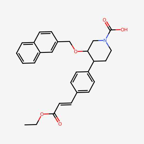 CCOC(=O)C=Cc1ccc(C2CCN(C(=O)O)CC2OCc2ccc3ccccc3c2)cc1